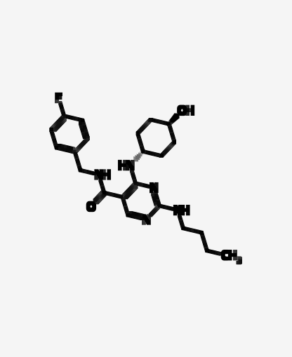 CCCCNc1ncc(C(=O)NCc2ccc(F)cc2)c(N[C@H]2CC[C@H](O)CC2)n1